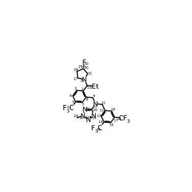 CCC(c1ccc(C(F)(F)F)cc1CN(Cc1cc(C(F)(F)F)cc(C(F)(F)F)c1)c1nnn(C)n1)N1CC[C@@H](F)C1